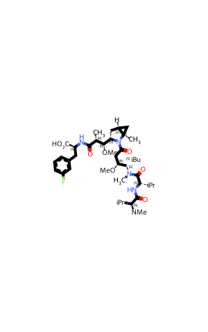 CC[C@H](C)[C@@H]([C@@H](CC(=O)N1[C@H]([C@H](OC)[C@@H](C)C(=O)N[C@@H](Cc2cccc(F)c2)C(=O)O)C[C@H]2C[C@]21C)OC)N(C)C(=O)[C@@H](NC(=O)[C@@H](NC)C(C)C)C(C)C